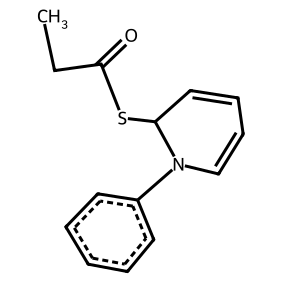 CCC(=O)SC1C=CC=CN1c1ccccc1